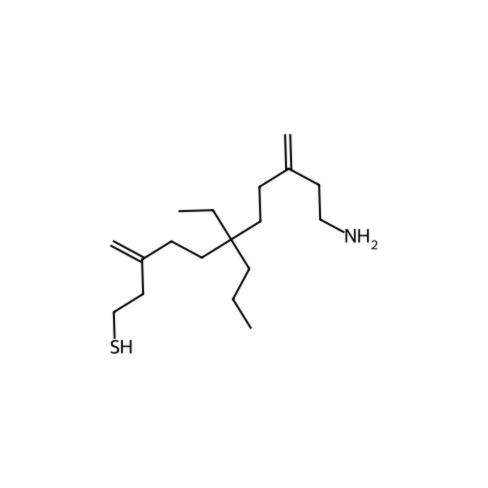 C=C(CCN)CCC(CC)(CCC)CCC(=C)CCS